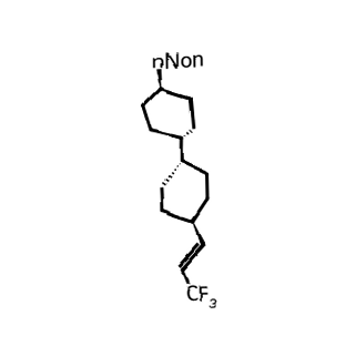 CCCCCCCCC[C@H]1CC[C@H]([C@H]2CC[C@H](C=CC(F)(F)F)CC2)CC1